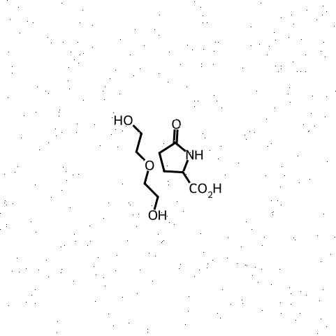 O=C1CCC(C(=O)O)N1.OCCOCCO